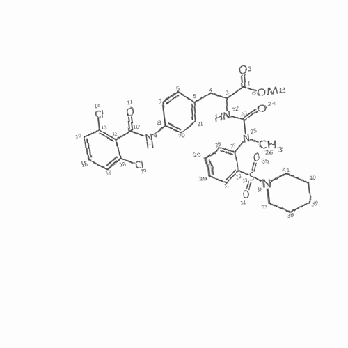 COC(=O)C(Cc1ccc(NC(=O)c2c(Cl)cccc2Cl)cc1)NC(=O)N(C)c1ccccc1S(=O)(=O)N1CCCCC1